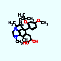 COc1ccc(-c2c(CC(O)O)c(C)c3c4c2cc(C)n4CCN3C)c(OC(C)(C)C)c1